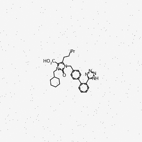 CC(C)CCc1c(C(=O)O)n(CC2CCCCC2)c(=O)n1Cc1ccc(-c2ccccc2-c2nnn[nH]2)cc1